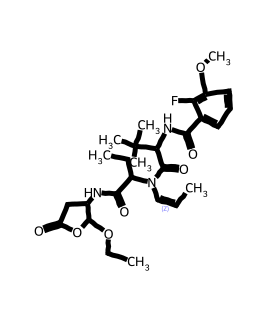 C/C=C\N(C(=O)C(NC(=O)c1cccc(OC)c1F)C(C)(C)C)C(CC)C(=O)NC1CC(=O)OC1OCC